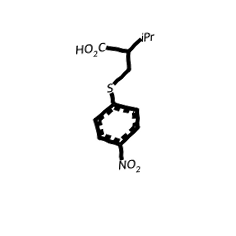 CC(C)C(CSc1ccc([N+](=O)[O-])cc1)C(=O)O